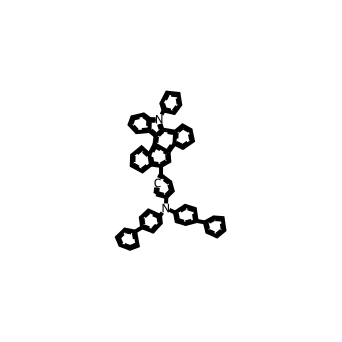 c1ccc(-c2ccc(N(c3ccc(-c4ccccc4)cc3)c3ccc(-c4cc5c6ccccc6c6c(c7ccccc7n6-c6ccccc6)c5c5ccccc45)cc3)cc2)cc1